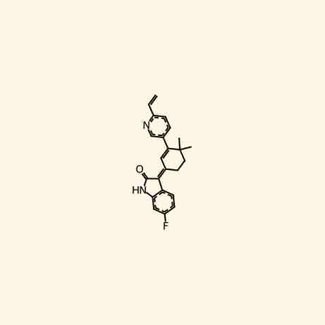 C=Cc1ccc(C2=C/C(=C3\C(=O)Nc4cc(F)ccc43)CCC2(C)C)cn1